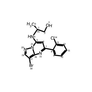 C[C@@H](CO)Nc1cc(-c2ccccc2Cl)nc2c(Br)cnn12